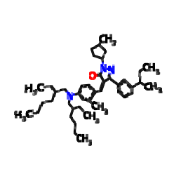 CCCCC(CC)CN(CC(CC)CCCC)c1ccc(C=C2C(=O)N(C3CCC(C)C3)N=C2c2cccc(C(C)CC)c2)c(C)c1